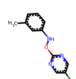 Cc1cccc(NOc2ncc(Br)cn2)c1